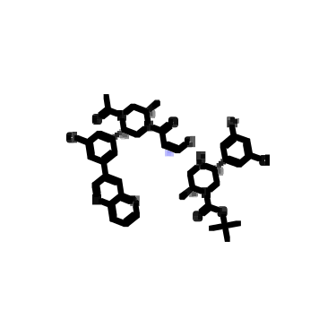 CC(=O)N1C[C@@H](C)N(C(=O)/C=C\Cl)C[C@@H]1c1cc(Cl)cc(-c2cnc3cccnc3c2)c1.C[C@H]1CN[C@H](c2cc(Cl)cc(Br)c2)CN1C(=O)OC(C)(C)C